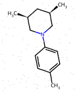 Cc1ccc(N2C[C@H](C)C[C@H](C)C2)cc1